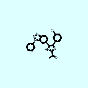 CC(=O)c1nc(-c2cccc(Cl)c2)c(-c2ccc3nnn(-c4ccccc4)c3c2)[nH]1